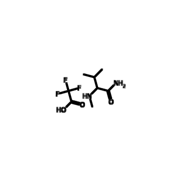 CNC(C(N)=O)C(C)C.O=C(O)C(F)(F)F